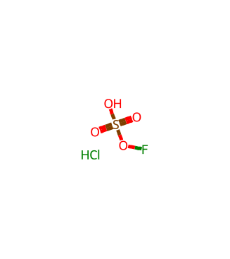 Cl.O=S(=O)(O)OF